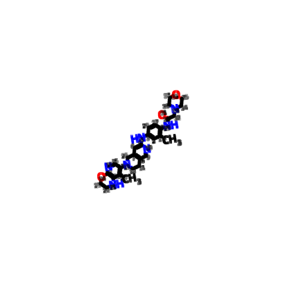 Cc1cc(Nc2cc3c(cn2)CCN(c2cnc4c(c2C)NCCO4)C3)ccc1NC(=O)CN1CCOCC1